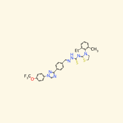 CCc1cccc(C)c1N1CCS/C1=N\C(=S)N/N=C/c1ccc(-c2ncn(-c3ccc(OC(F)(F)F)cc3)n2)cc1